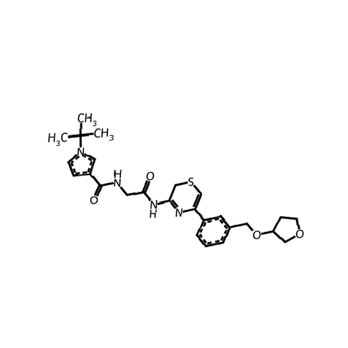 CC(C)(C)n1ccc(C(=O)NCC(=O)NC2=NC(c3cccc(COC4CCOC4)c3)=CSC2)c1